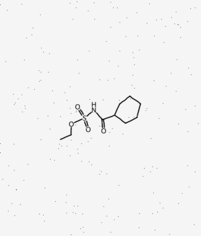 CCOS(=O)(=O)NC(=O)C1CCCCC1